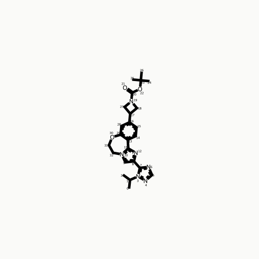 CC(C)n1ncnc1-c1cn2c(n1)-c1ccc(C3CN(C(=O)OC(C)(C)C)C3)cc1OCC2